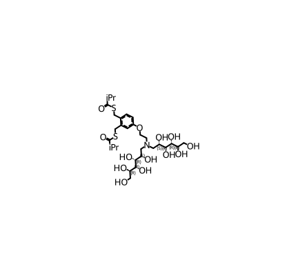 CC(C)C(=O)SCc1ccc(OCCN(C[C@H](O)[C@@H](O)[C@H](O)[C@H](O)CO)C[C@H](O)[C@@H](O)[C@H](O)[C@H](O)CO)cc1CSC(=O)C(C)C